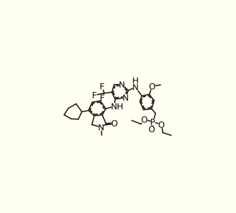 CCOP(=O)(Cc1ccc(Nc2ncc(C(F)(F)F)c(Nc3ccc(C4CCCCC4)c4c3C(=O)N(C)C4)n2)c(OC)c1)OCC